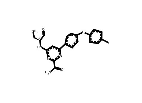 NC[C@@H](C=O)Nc1cc(-c2ccc(Oc3ccc(F)cc3)cc2)nc(C(N)=O)n1